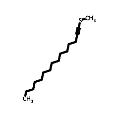 CCCCCCCCCCCCCC#CSC